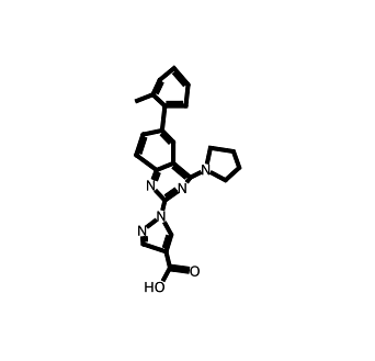 Cc1ccccc1-c1ccc2nc(-n3cc(C(=O)O)cn3)nc(N3CCCC3)c2c1